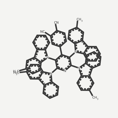 Cc1ccc2c(c1)c1ccccc1n2-c1nc(-n2c3ccccc3c3cc(C)ccc32)c(-n2c3ccccc3c3cc(C)ccc32)c(-c2ccc(C#N)c(C#N)c2)c1-n1c2ccccc2c2cc(C)ccc21